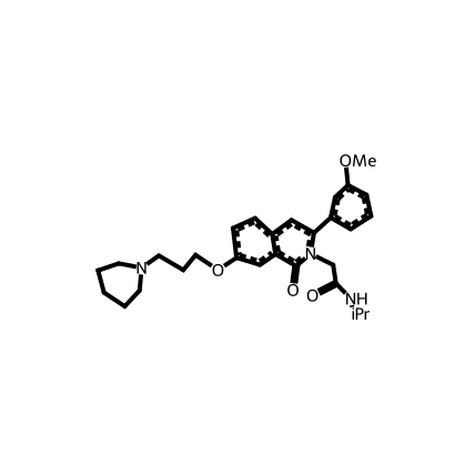 COc1cccc(-c2cc3ccc(OCCCN4CCCCC4)cc3c(=O)n2CC(=O)NC(C)C)c1